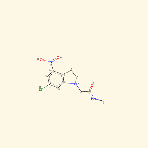 CNC(=O)CN1CCc2c1cc(Cl)cc2[N+](=O)[O-]